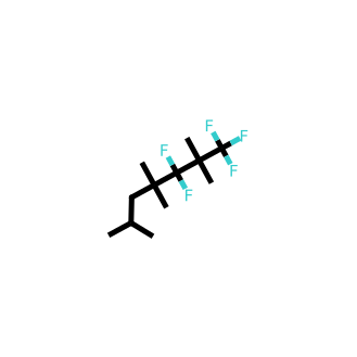 CC(C)CC(C)(C)C(F)(F)C(C)(C)C(F)(F)F